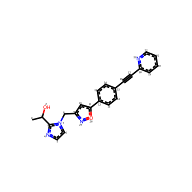 CC(O)c1nccn1Cc1cc(-c2ccc(C#Cc3ccccn3)cc2)on1